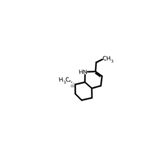 CCC1=CCC2CCC[C@H](C)C2N1